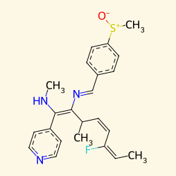 C/C=C(F)\C=C/C(C)C(/N=C/c1ccc([S+](C)[O-])cc1)=C(/NC)c1ccncc1